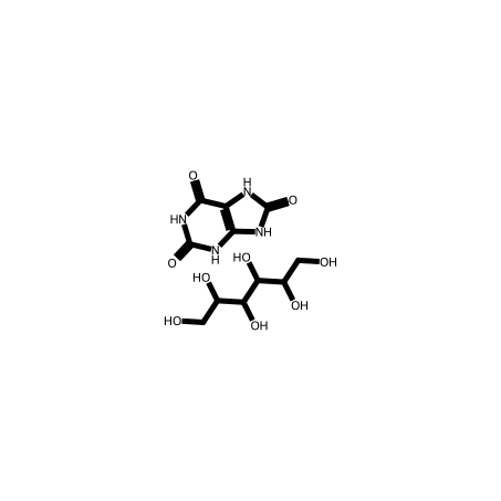 O=c1[nH]c(=O)c2[nH]c(=O)[nH]c2[nH]1.OCC(O)C(O)C(O)C(O)CO